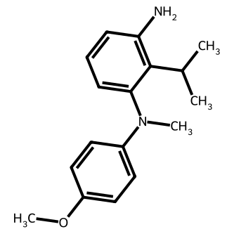 COc1ccc(N(C)c2cccc(N)c2C(C)C)cc1